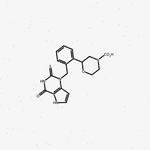 O=C(O)N1CCOC(c2ccccc2Cn2c(=S)[nH]c(=O)c3[nH]ccc32)C1